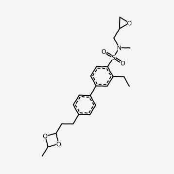 CCc1cc(-c2ccc(CCC3OC(C)O3)cc2)ccc1S(=O)(=O)N(C)CC1CO1